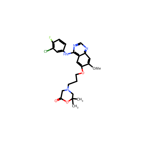 COc1cc2ncnc(Nc3ccc(F)c(Cl)c3)c2cc1OCCCN1CC(=O)OC(C)(C)C1